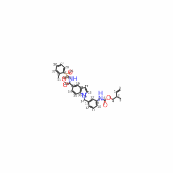 C=CC(C)COC(=O)Nc1cccc(Cn2ccc3cc(C(=O)NS(=O)(=O)c4ccccc4C)ccc32)c1